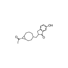 O=C1c2cc(O)ccc2CC1CC1CCCC2C(CC1)[C@H]2C(=O)I